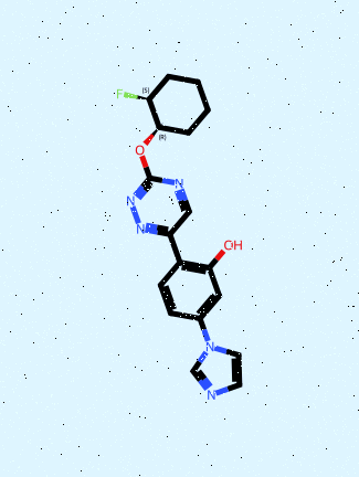 Oc1cc(-n2ccnc2)ccc1-c1cnc(O[C@@H]2CCCC[C@@H]2F)nn1